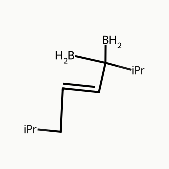 BC(B)(/C=C/CC(C)C)C(C)C